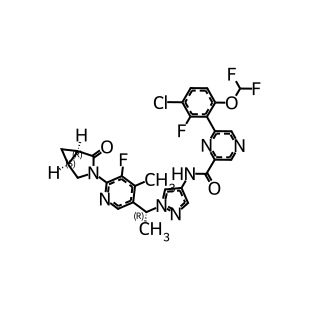 Cc1c([C@@H](C)n2cc(NC(=O)c3cncc(-c4c(OC(F)F)ccc(Cl)c4F)n3)cn2)cnc(N2C[C@H]3C[C@H]3C2=O)c1F